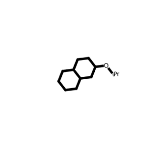 CC(C)OC1CCC2CCCCC2C1